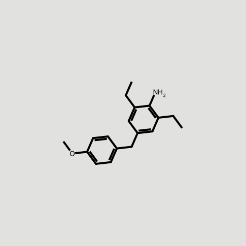 CCc1cc(Cc2ccc(OC)cc2)cc(CC)c1N